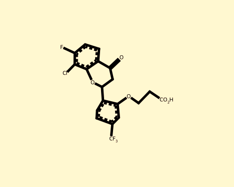 O=C(O)CCOc1cc(C(F)(F)F)ccc1C1CC(=O)c2ccc(F)c(Cl)c2O1